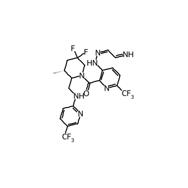 C[C@@H]1CC(F)(F)CN(C(=O)c2nc(C(F)(F)F)ccc2N/N=C\C=N)C1CNc1ccc(C(F)(F)F)cn1